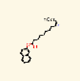 CCCCCCCC/C=C\CCCCCCCC(=O)Oc1ccc2ccccc2c1